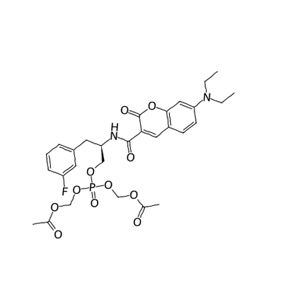 CCN(CC)c1ccc2cc(C(=O)N[C@@H](COP(=O)(OCOC(C)=O)OCOC(C)=O)Cc3cccc(F)c3)c(=O)oc2c1